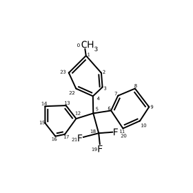 Cc1ccc(C(c2ccccc2)(c2ccccc2)C(F)(F)F)cc1